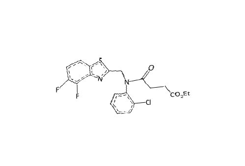 CCOC(=O)CCC(=O)N(Cc1nc2c(F)c(F)ccc2s1)c1ccccc1Cl